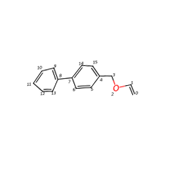 C=COCc1ccc(-c2ccccc2)cc1